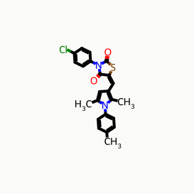 Cc1ccc(-n2c(C)cc(/C=C3/SC(=O)N(c4ccc(Cl)cc4)C3=O)c2C)cc1